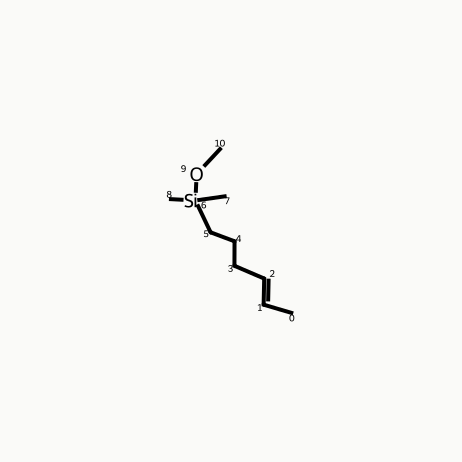 CC=CCCC[Si](C)(C)OC